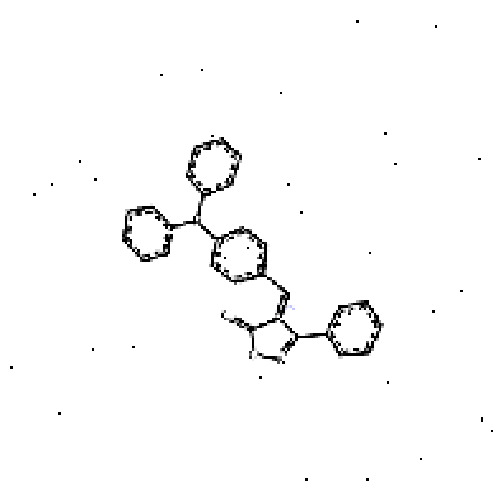 O=C1ON=C(c2ccccc2)/C1=C/c1ccc(N(c2ccccc2)c2ccccc2)cc1